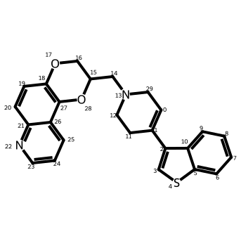 C1=C(c2csc3ccccc23)CCN(CC2COc3ccc4ncccc4c3O2)C1